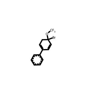 FC(F)(F)OC1(Br)C=CC(c2ccccc2)=CC1